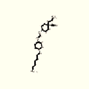 CCCCCCC[C@H]1CC[C@H](OCO[C@H]2CC[C@@](C#N)(CCC)CC2)CC1